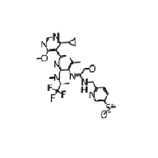 C=C(/N=C(\C(/N=C(\C=O)NCc1ccc([S+](C)[O-])cn1)=C(C)C)N(C)[C@@H](C)C(F)(F)F)c1c(OC)ncnc1C1CC1